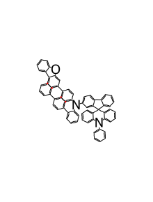 c1ccc(-c2ccc(-c3ccccc3N(c3ccc(-c4ccc5c(c4)oc4ccccc45)cc3)c3ccc4c(c3)C3(c5ccccc5-4)c4ccccc4N(c4ccccc4)c4ccccc43)cc2)cc1